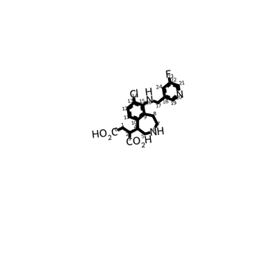 O=C(O)CC(C(=O)O)C1CNCCc2c1ccc(Cl)c2NCc1cncc(F)c1